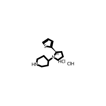 Cl.Cl.c1csc([C@H]2CCCN2C2CCNCC2)c1